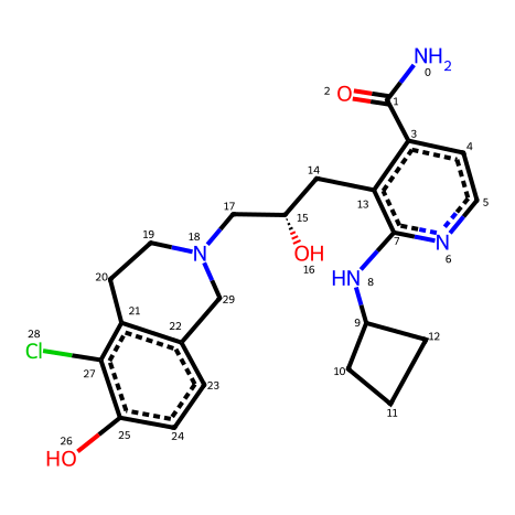 NC(=O)c1ccnc(NC2CCC2)c1C[C@H](O)CN1CCc2c(ccc(O)c2Cl)C1